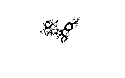 CCC1(CC)Oc2cc(C(F)(F)F)ccc2-c2nc(NS(=O)(=O)c3c(OC)ncnc3OC)sc21